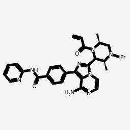 C=CC(=O)N1C(c2nc(-c3ccc(C(=O)Nc4ccccn4)cc3)c3c(N)nccn23)[C@H](C)N(C(C)C)C[C@@H]1C